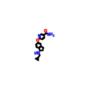 NC(=O)c1ccc(Oc2ccc3c(c2)CCC3NCC2CC2)nc1